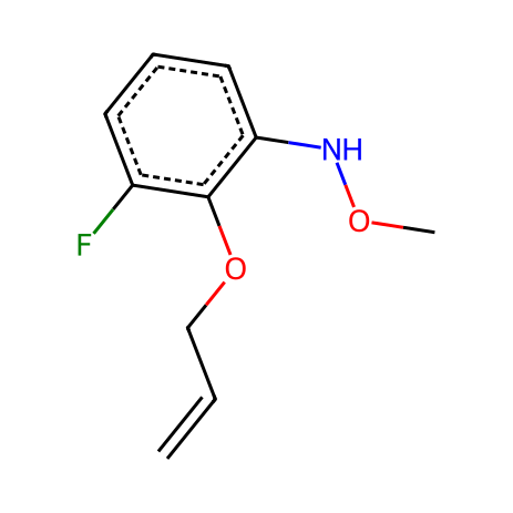 C=CCOc1c(F)cccc1NOC